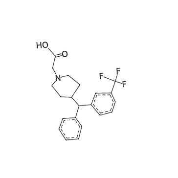 O=C(O)CN1CCC(C(c2ccccc2)c2cccc(C(F)(F)F)c2)CC1